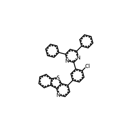 Clc1ccc(-c2ccnc3c2sc2ccccc23)cc1-c1nc(-c2ccccc2)cc(-c2ccccc2)n1